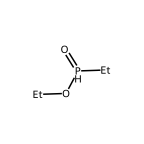 [CH2]C[PH](=O)OCC